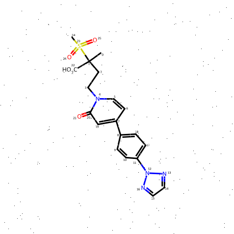 CC(CCn1ccc(-c2ccc(-n3nccn3)cc2)cc1=O)(C(=O)O)S(C)(=O)=O